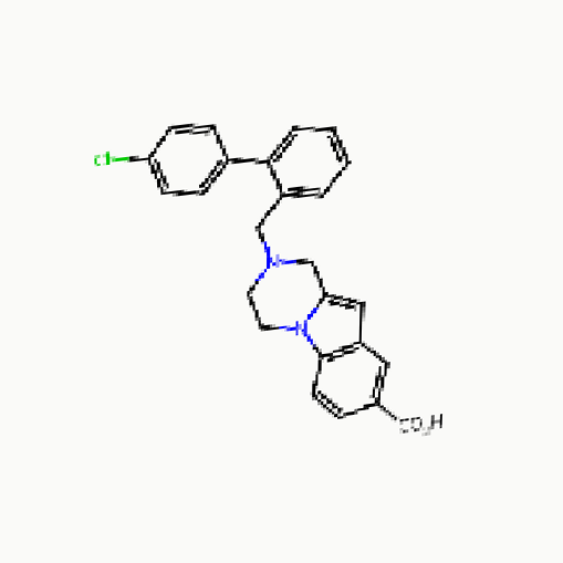 O=C(O)c1ccc2c(c1)cc1n2CCN(Cc2ccccc2-c2ccc(Cl)cc2)C1